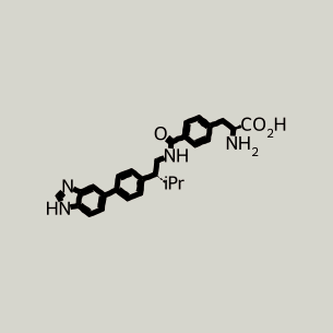 CC(C)[C@@H](CNC(=O)c1ccc(C[C@H](N)C(=O)O)cc1)c1ccc(-c2ccc3[nH]cnc3c2)cc1